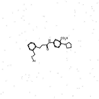 CC(=O)SCc1ccccc1CCC(=O)Nc1ccc(N2CCCC2)c(C(=O)O)c1